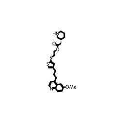 COc1ccc2nccc(CCCc3csc(SCCOC(=O)C[C@H]4CCCNC4)c3)c2c1